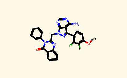 CC(C)Oc1ccc(-c2nn(Cc3nc4ccccc4c(=O)n3-c3ccccc3)c3ncnc(N)c23)c(F)c1F